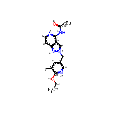 Cc1cc(Cn2cc3c(NC(=O)C(C)(C)C)nccc3n2)cnc1OCC(F)(F)F